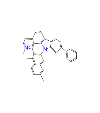 Cc1ccc2c(C)c3c(c(C)c2c1)n1c2cc(-c4ccccc4)ccc2c2ccc4cc[n+](C)c3c4c21